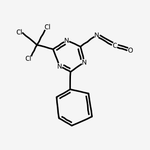 O=C=Nc1nc(-c2ccccc2)nc(C(Cl)(Cl)Cl)n1